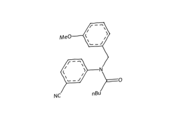 CCCCC(=O)N(Cc1cccc(OC)c1)c1cccc(C#N)c1